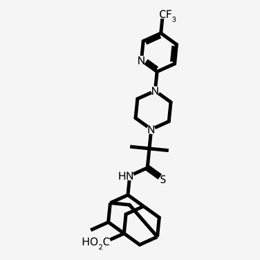 CC1C2CC3CC(CC1(C(=O)O)C3)C2NC(=S)C(C)(C)N1CCN(c2ccc(C(F)(F)F)cn2)CC1